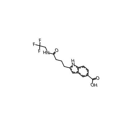 O=C(CCCc1cc2cc(C(=O)O)ccc2[nH]1)NCC(F)(F)F